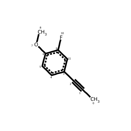 CC#Cc1ccc(OC)c(F)c1